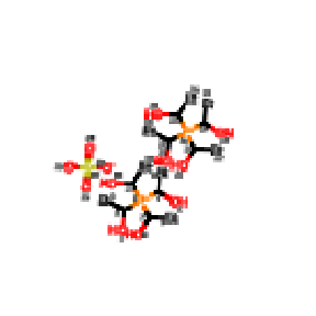 CCC(O)[P+](C(O)CC)(C(O)CC)C(O)CC.CCC(O)[P+](C(O)CC)(C(O)CC)C(O)CC.O=S(=O)([O-])[O-]